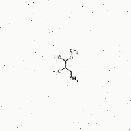 CC/C(C)=C(/O)OC